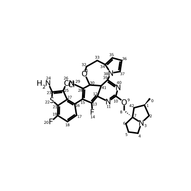 C[C@H]1CN2CCC[C@@]2(COC2=NC3=C(F)C(c4ccc(F)c5sc(N)c(C#N)c45)=C(Cl)C4OCCc5cccn5C(=N2)C34)C1